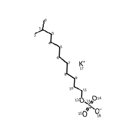 CC(C)CCCCCCCCCOS(=O)(=O)[O-].[K+]